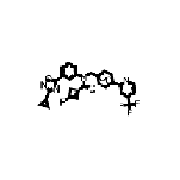 O=C(N(CC12CCC(c3cc(C(F)(F)F)ccn3)(CC1)CC2)c1cccc(-c2nc(C3CC3)no2)c1)C12CC(F)(C1)C2